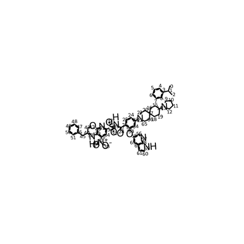 CC(C)c1ccccc1[C@@H]1CCCN1C1CCC2(CC1)CCN(c1ccc(C(=O)NS(=O)(=O)c3cc([N+](=O)[O-])c4c(n3)OCC(Cc3ccccc3)N4)c(Oc3cnc4[nH]ccc4c3)c1)CC2